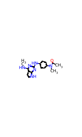 CNc1nc(Nc2ccc(N(C)C(C)=O)cc2)nc2[nH]ccc12